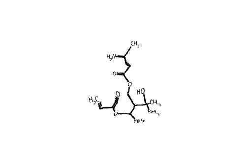 C=CC(=O)OC(CCC)C(COC(=O)CC(C)N)C(C)(N)O